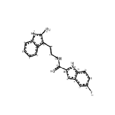 CC(C)(C)c1[nH]c2ccccc2c1CCNC(=O)c1cc2cc(F)ccc2[nH]1